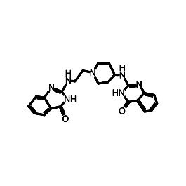 O=c1[nH]c(NCCN2CCC(Nc3nc4ccccc4c(=O)[nH]3)CC2)nc2ccccc12